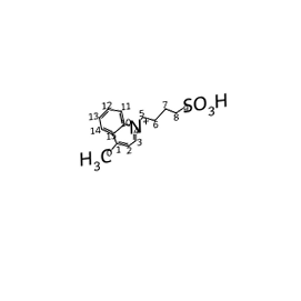 Cc1cc[n+](CCCCS(=O)(=O)O)c2ccccc12